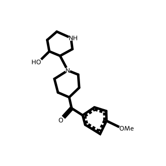 COc1ccc(C(=O)C2CCN(C3CNCCC3O)CC2)cc1